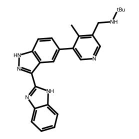 Cc1c(CNC(C)(C)C)cncc1-c1ccc2[nH]nc(-c3nc4ccccc4[nH]3)c2c1